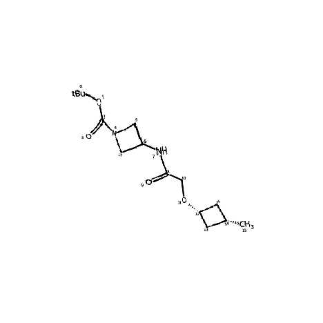 CC(C)(C)OC(=O)N1CC(NC(=O)CO[C@H]2C[C@@H](C)C2)C1